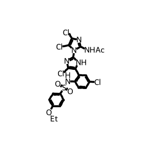 CCOc1ccc(S(=O)(=O)Nc2ccc(Cl)cc2-c2[nH]c(-n3c(NC(C)=O)nc(Cl)c3Cl)nc2Cl)cc1